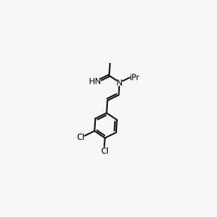 CC(=N)N(C=Cc1ccc(Cl)c(Cl)c1)C(C)C